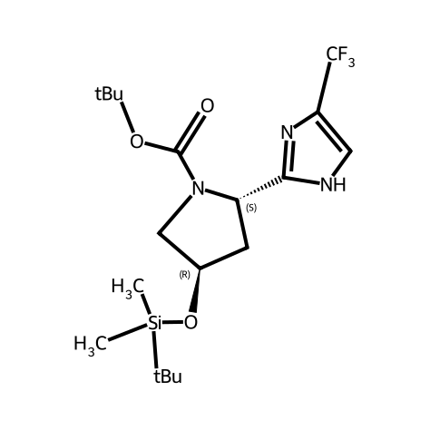 CC(C)(C)OC(=O)N1C[C@H](O[Si](C)(C)C(C)(C)C)C[C@H]1c1nc(C(F)(F)F)c[nH]1